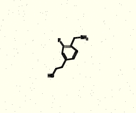 NCc1ccc(CCO)cc1F